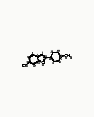 CN1CC=C(c2cc3ccc(Cl)cc3o2)CC1